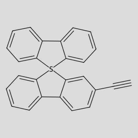 C#Cc1ccc2c(c1)S1(c3ccccc3-c3ccccc31)c1ccccc1-2